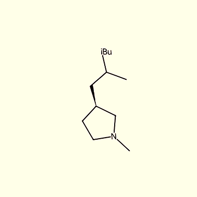 CCC(C)C(C)C[C@@H]1CCN(C)C1